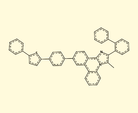 Cc1c(-c2ccccc2-c2ccccc2)nc2c3ccc(-c4ccc(-c5ccc(-c6ccccc6)s5)cc4)cc3c3ccccc3n12